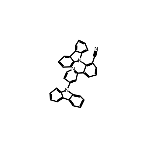 N#Cc1cccc(-c2cc(-n3c4ccccc4c4ccccc43)ccn2)c1-n1c2ccccc2c2ccccc21